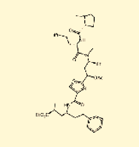 CCOC(=O)[C@@H](C)C[C@H](CCc1ccccc1)NC(=O)c1csc([C@@H](C[C@H](C(C)C)N(C)C(=O)[C@H](CCC(C)C)NC(=O)[C@H]2CCCN2C)OC(C)=O)n1